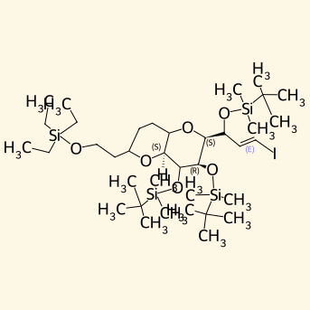 CC[Si](CC)(CC)OCCC1CCC2O[C@@H](C(/C=C/I)O[Si](C)(C)C(C)(C)C)[C@@H](O[Si](C)(C)C(C)(C)C)C(O[Si](C)(C)C(C)(C)C)[C@H]2O1